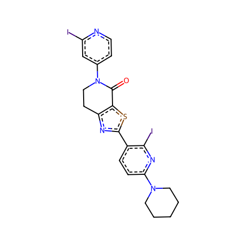 O=C1c2sc(-c3ccc(N4CCCCC4)nc3I)nc2CCN1c1ccnc(I)c1